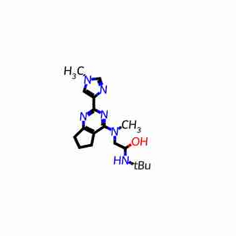 CN(CC(O)NC(C)(C)C)c1nc(-c2cn(C)cn2)nc2c1CCC2